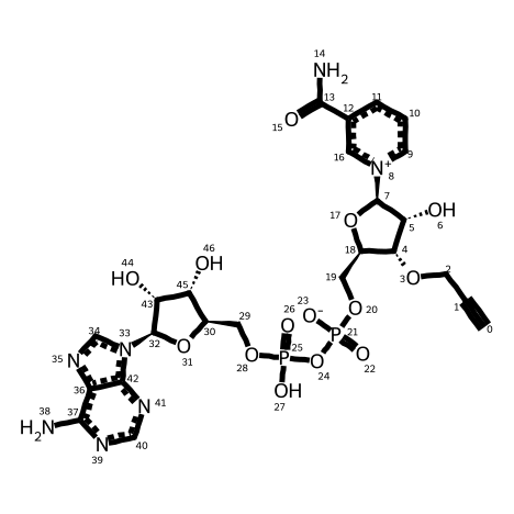 C#CCO[C@H]1[C@@H](O)[C@H]([n+]2cccc(C(N)=O)c2)O[C@@H]1COP(=O)([O-])OP(=O)(O)OC[C@H]1O[C@@H](n2cnc3c(N)ncnc32)[C@H](O)[C@@H]1O